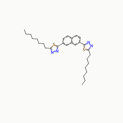 CCCCCCCCc1nnc(-c2ccc3ccc(-c4nnc(CCCCCCCC)s4)cc3c2)s1